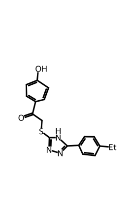 CCc1ccc(-c2nnc(SCC(=O)c3ccc(O)cc3)[nH]2)cc1